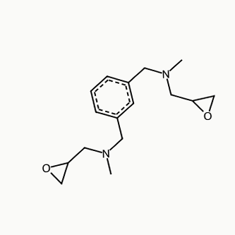 CN(Cc1cccc(CN(C)CC2CO2)c1)CC1CO1